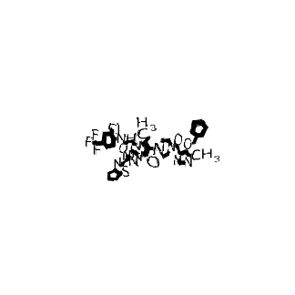 CCc1c(N2CCN(C(=O)c3ncnc(C)c3OCc3ccccc3)CC2)c(=O)n2nc(-c3nc4c(s3)CCC4)nc2n1CC(=O)Nc1ccc(C(F)(F)F)cc1Cl